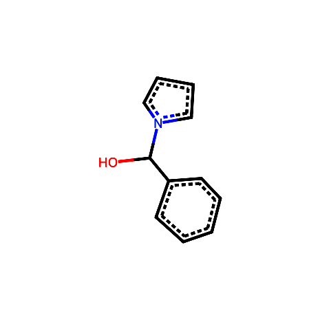 OC(c1ccccc1)n1cccc1